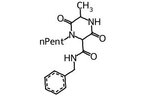 CCCCCN1C(=O)C(C)NC(=O)C1C(=O)NCc1ccccc1